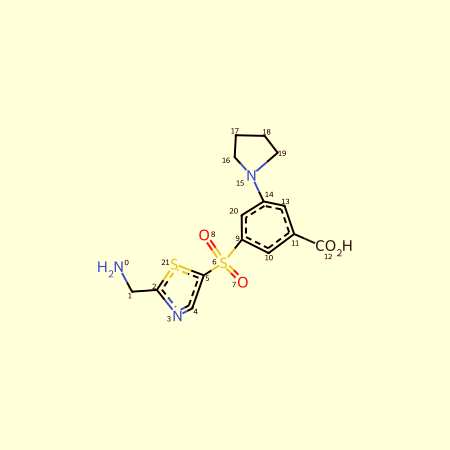 NCc1ncc(S(=O)(=O)c2cc(C(=O)O)cc(N3CCCC3)c2)s1